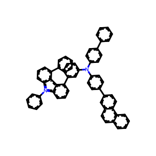 c1ccc(-c2ccc(N(c3ccc(-c4ccc5c(ccc6ccccc65)c4)cc3)c3cccc(-c4cccc5c4c4c(-c6ccccc6)cccc4n5-c4ccccc4)c3)cc2)cc1